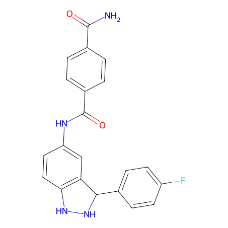 NC(=O)c1ccc(C(=O)Nc2ccc3c(c2)C(c2ccc(F)cc2)NN3)cc1